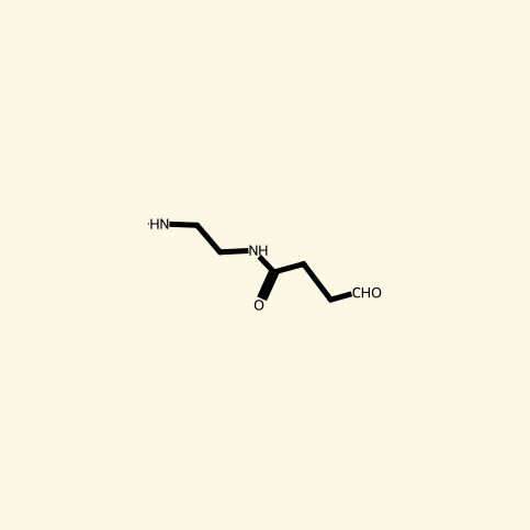 [NH]CCNC(=O)CCC=O